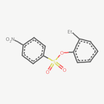 CCc1ccccc1OS(=O)(=O)c1ccc([N+](=O)[O-])cc1